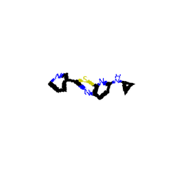 c1cncc(-c2nc3ccc(NC4CC4)nc3s2)c1